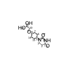 O=C1CCN(c2ccc(OCC(O)O)cc2)C(=O)N1